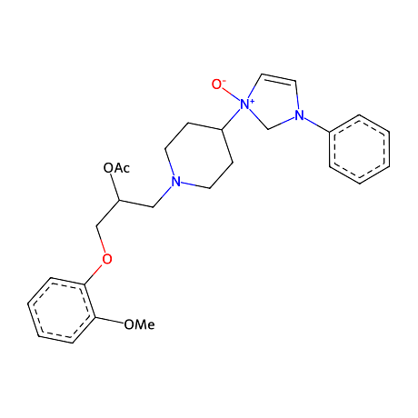 COc1ccccc1OCC(CN1CCC([N+]2([O-])C=CN(c3ccccc3)C2)CC1)OC(C)=O